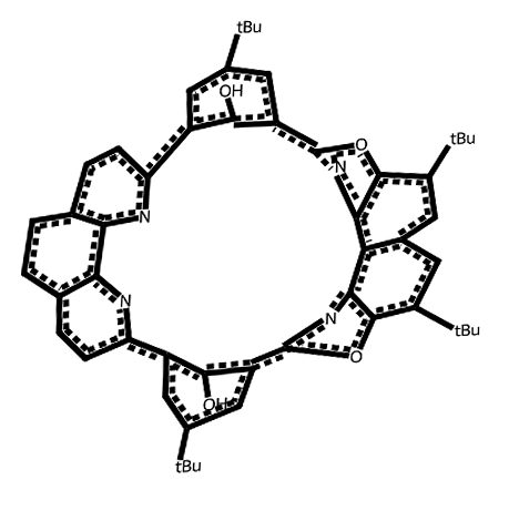 CC(C)(C)c1cc2c(O)c(c1)c1nc3c(o1)c(C(C)(C)C)cc1cc(C(C)(C)C)c4oc(nc4c13)c1cc(C(C)(C)C)cc(c1O)c1ccc3ccc4ccc2nc4c3n1